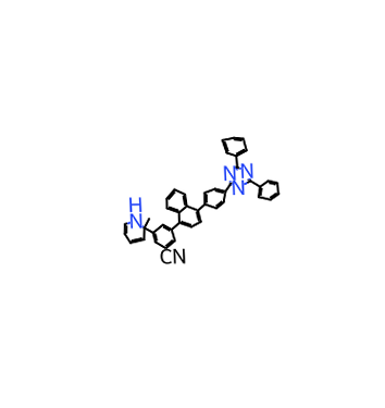 CC1(c2cc(C#N)cc(-c3ccc(-c4ccc(-c5nc(-c6ccccc6)nc(-c6ccccc6)n5)cc4)c4ccccc34)c2)C=CC=CN1